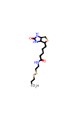 O=C(O)CCSSCCNC(=O)CCCCC1SCC2NC(=O)NC21